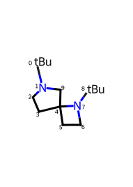 CC(C)(C)N1CCC2(CCN2C(C)(C)C)C1